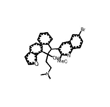 COc1nc2ccc(Br)cc2cc1C(c1ccccc1)C(O)(CCN(C)C)c1cccc2ccoc12